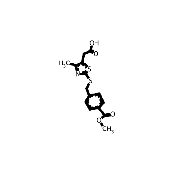 COC(=O)c1ccc(CSc2nc(C)c(CC(=O)O)s2)cc1